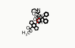 COC(=O)c1c2c(c(NC(=O)NS(=O)(=NC(c3ccccc3)(c3ccccc3)c3ccccc3)c3cnn4c3OCCC4)c3c1CCC3)CCC2